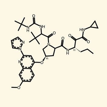 CCC[C@H](NC(=O)C1C[C@@H](Oc2cc(-n3cccn3)nc3cc(OC)ccc23)CN1C(=O)C(NC(=O)NC(C)(C)C)C(C)(C)C)C(=O)C(=O)NC1CC1